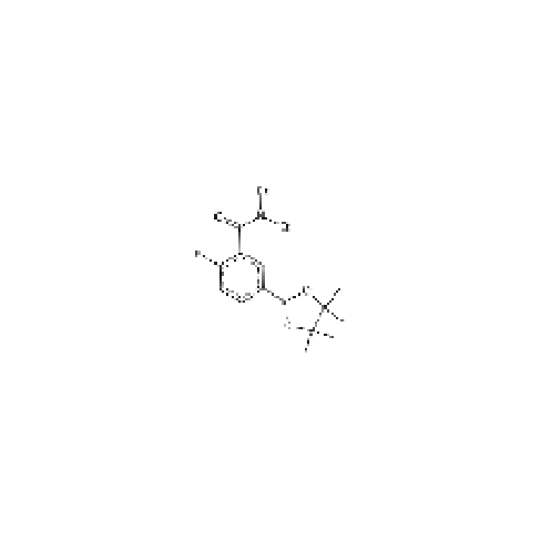 CCN(CC)C(=O)c1cc(B2OC(C)(C)C(C)(C)O2)ccc1F